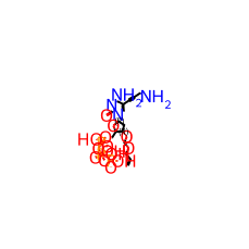 C=CCOCO[C@@H]1C[C@H](n2cc(C#CCN)c(N)nc2=O)OC1COP(=O)(O)OP(=O)(O)OP(=O)(O)O